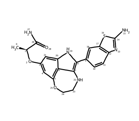 C[C@H](Oc1cc2c3c(c(-c4ccc5nc(N)sc5c4)[nH]c3c1)NCCO2)C(N)=O